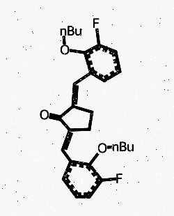 CCCCOc1c(F)cccc1/C=C1\CC/C(=C\c2cccc(F)c2OCCCC)C1=O